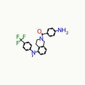 CN(c1ccc(C(F)(F)F)cc1)c1cccc2c1CCN(C(=O)c1ccc(N)cc1)C2